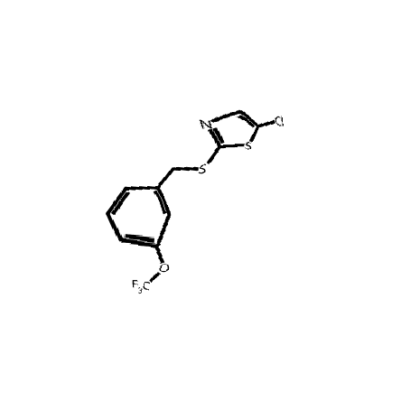 FC(F)(F)Oc1cccc(CSc2ncc(Cl)s2)c1